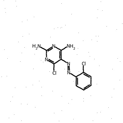 Nc1nc(N)c(N=Nc2ccccc2Cl)c(Cl)n1